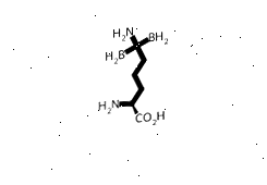 BC(B)(N)CCC[C@H](N)C(=O)O